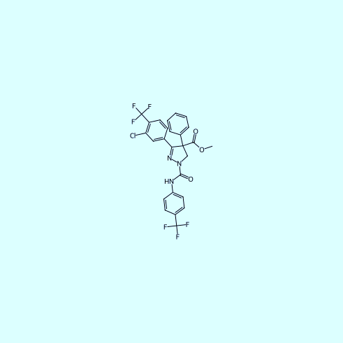 COC(=O)C1(c2ccccc2)CN(C(=O)Nc2ccc(C(F)(F)F)cc2)N=C1c1ccc(C(F)(F)F)c(Cl)c1